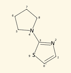 [c]1cnc(N2CCCC2)s1